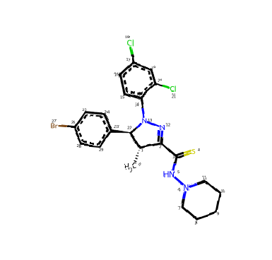 C[C@H]1C(C(=S)NN2CCCCC2)=NN(c2ccc(Cl)cc2Cl)[C@@H]1c1ccc(Br)cc1